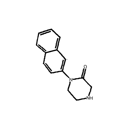 O=C1CNCCN1c1[c]c2ccccc2cc1